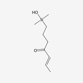 CC=CC(=O)CCC[Si](C)(C)O